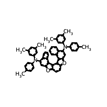 Cc1ccc(N(c2cc(C)cc(C)c2)c2cc3oc4ccc5oc6cc(N(c7ccc(C)cc7)c7cc(C)cc(C)c7)c7ccccc7c6c5c4c3c3ccccc23)cc1